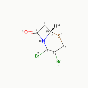 O=C1C[C@@H]2SCC(Br)C(Br)N12